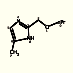 CCCOCc1ncc(C)[nH]1